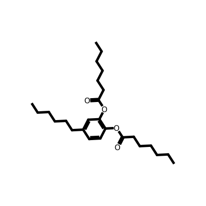 CCCCCCC(=O)Oc1ccc(CCCCCC)cc1OC(=O)CCCCCC